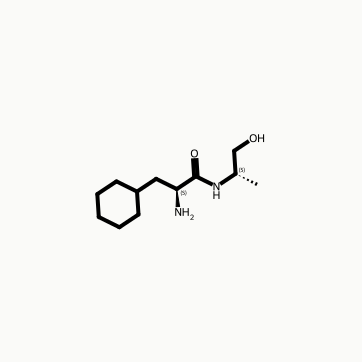 C[C@@H](CO)NC(=O)[C@@H](N)CC1CCCCC1